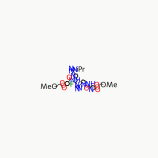 COCC1COc2cnc(C(=O)Nc3cccc(-c4nncn4C(C)Cc4ccc(-c5nncn5C(C)C)nc4NC(=O)c4cc5c(cc4F)OCC([C@@H](C)COC)O5)n3)cc2O1